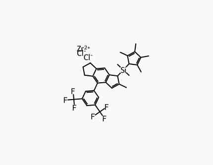 CC1=Cc2c(cc3c(c2-c2cc(C(F)(F)F)cc(C(F)(F)F)c2)CCC3)C1[Si](C)(C)C1C(C)=C(C)C(C)=C1C.[Cl-].[Cl-].[Zr+2]